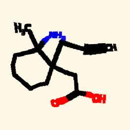 C#CCC1(CC(=O)O)CCCCC1(C)N